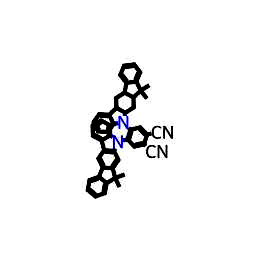 CC1(C)c2ccccc2-c2cc3c4ccccc4n(-c4cc(C#N)c(C#N)cc4N4c5ccccc5C5CC6c7ccccc7C(C)(C)C6CC54)c3cc21